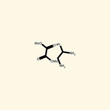 CCCC(N)CN.COC(=O)C(=O)OC